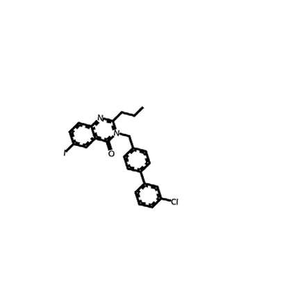 CCCc1nc2ccc(I)cc2c(=O)n1Cc1ccc(-c2cccc(Cl)c2)cc1